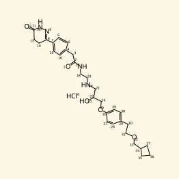 Cl.O=C(Cc1ccc(C2=NNC(=O)CC2)cc1)NCCNCC(O)COc1ccc(CCOCC2CCC2)cc1